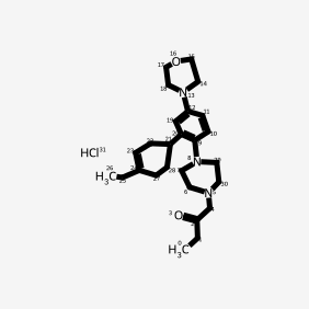 CCC(=O)CN1CCN(c2ccc(N3CCOCC3)cc2C2CC=C(CC)CC2)CC1.Cl